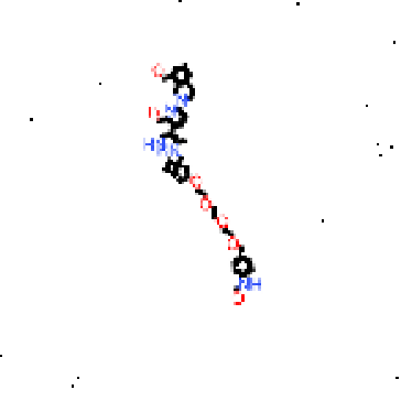 C/C(NCC12CCC1=CC(OCCOCCOCCOCc1ccc(NC=O)cc1)C2)=C(/C=N)c1ccc(N2CCc3cccc(C=O)c3C2)nc1C=O